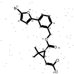 CC1(C)[C@H](C=C(Cl)Cl)[C@@H]1C(=O)OCc1cccc(-c2ccc(Br)o2)c1